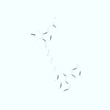 O=C(Oc1ccc([C@@H](O)CNCCCCc2cc3cccnc3c(-c3cccc(F)c3)n2)c2sc(=O)[nH]c12)C(F)(F)F